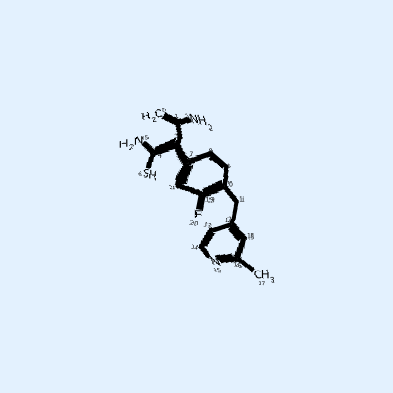 C=C(N)/C(=C(\N)S)c1ccc(Cc2ccnc(C)c2)c(F)c1